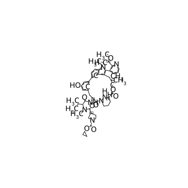 CCn1c(-c2cccnc2[C@H](C)OC)c2c3cc(ccc31)-c1cc(O)cc(c1)C[C@H](NC(=O)C(C(C)C)N(C)C(=O)[C@H]1CCN(C(=O)OC3CC3)C1)C(=O)N1CCC[C@H](N1)C(=O)OCC(C)(C)C2